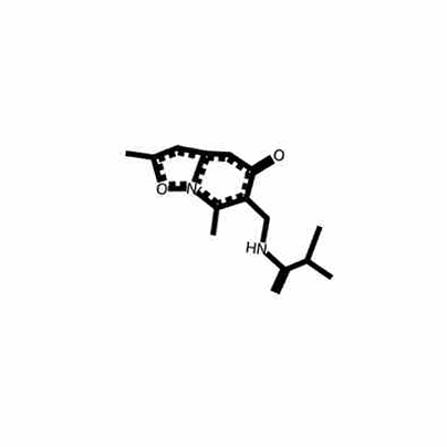 C=C(NCc1c(C)n2oc(C)cc2cc1=O)C(C)C